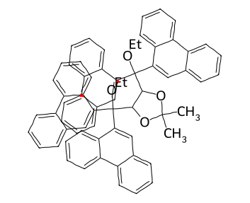 CCOC(c1cc2ccccc2c2ccccc12)(c1cc2ccccc2c2ccccc12)C1OC(C)(C)OC1C(OCC)(c1cc2ccccc2c2ccccc12)c1cc2ccccc2c2ccccc12